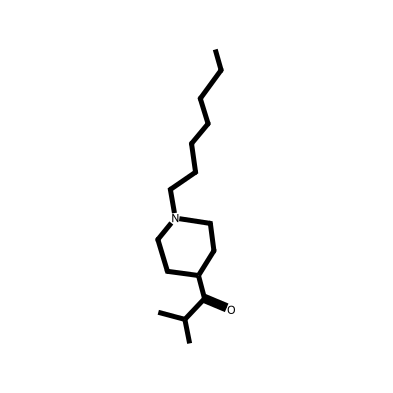 CCCCCCCN1CCC(C(=O)C(C)C)CC1